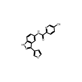 N#Cc1ccc(C(=O)Nc2ccc3[nH]nc(-c4ccoc4)c3c2)nc1